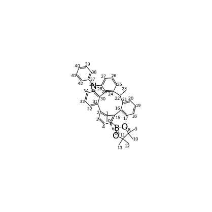 Cc1c2ccc(B3OC(C)(C)C(C)(C)O3)c1-c1ccccc1C(C)c1cccc3c1c1c-2cccc1n3-c1ccccc1